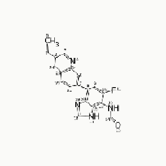 CCC1C=Nc2cc(-c3cc(F)c(NC=O)c4[nH]cnc34)ccc2C1